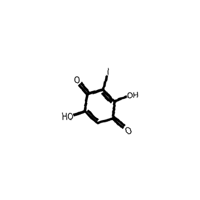 O=C1C=C(O)C(=O)C(I)=C1O